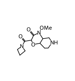 CON1C(=O)C(C(=O)N2CCC2)OC2CCNCC21